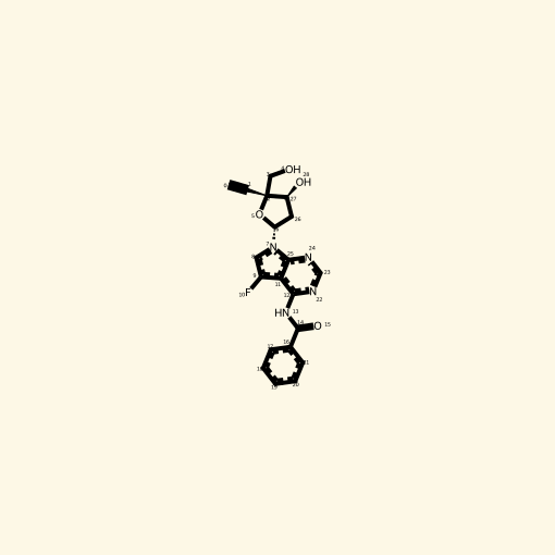 C#C[C@]1(CO)O[C@@H](n2cc(F)c3c(NC(=O)c4ccccc4)ncnc32)C[C@@H]1O